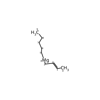 CC=C[CH2][Mg][CH2]CCCC